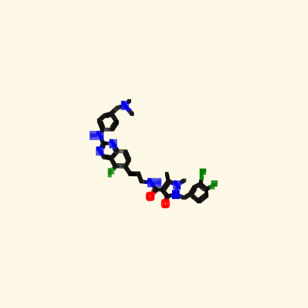 Cc1c(C(=O)NC/C=C/c2ccc3nc(Nc4ccc(CN(C)C)cc4)ncc3c2F)c(=O)n(Cc2ccc(F)c(F)c2)n1C